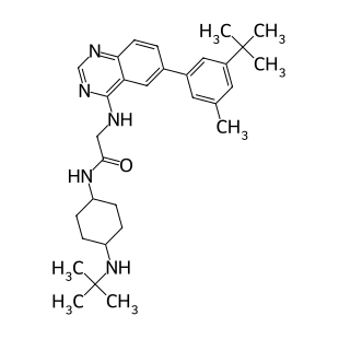 Cc1cc(-c2ccc3ncnc(NCC(=O)NC4CCC(NC(C)(C)C)CC4)c3c2)cc(C(C)(C)C)c1